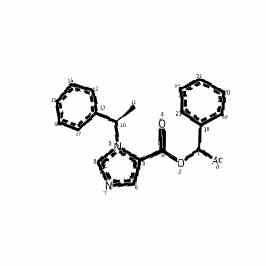 CC(=O)C(OC(=O)c1cncn1[C@H](C)c1ccccc1)c1ccccc1